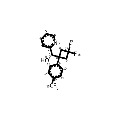 O[C@H](c1ccccn1)C1(c2ccc(C(F)(F)F)cc2)CC(F)(F)C1